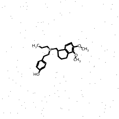 CCCN(CCc1ccc(O)cc1)CC1CCCc2c1ccc(OC)c2OC